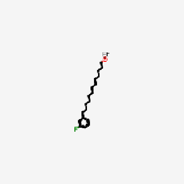 CCOCCCCCCCCCCCCCc1cccc(F)c1